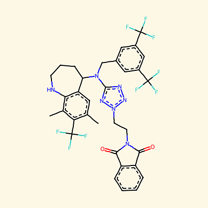 Cc1cc2c(c(C)c1C(F)(F)F)NCCCC2N(Cc1cc(C(F)(F)F)cc(C(F)(F)F)c1)c1nnn(CCN2C(=O)c3ccccc3C2=O)n1